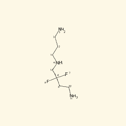 NCCCNCC(F)(F)CCN